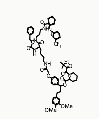 CCC(C)(C)C(=O)C(=O)N1CCCCC1C(=O)OC(CCc1ccc(OC)c(OC)c1)c1ccc(OCC(=O)NCCCCC(NC(=O)OCc2ccccc2)C(=O)NCCCNC(=O)c2ccccc2Nc2cccc(C(F)(F)F)c2)cc1